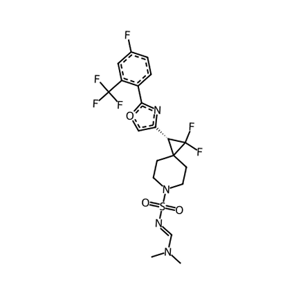 CN(C)/C=N/S(=O)(=O)N1CCC2(CC1)[C@H](c1coc(-c3ccc(F)cc3C(F)(F)F)n1)C2(F)F